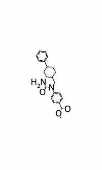 COC(=O)c1ccc(N(CC2CCC(c3ccccc3)CC2)C(N)=O)cc1